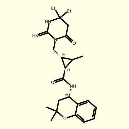 CCC1(CC)CC(=O)N(C[C@@H]2C(C)[C@H]2C(=O)N[C@H]2CC(C)(C)Oc3ccccc32)C(=N)N1